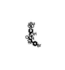 CC(C)(C)OC(=O)N1CCC(O)(Cn2cnc3c(-c4ccc(Br)cc4)nsc3c2=O)CC1